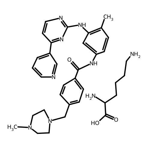 Cc1ccc(NC(=O)c2ccc(CN3CCN(C)CC3)cc2)cc1Nc1nccc(-c2cccnc2)n1.NCCCCC(N)C(=O)O